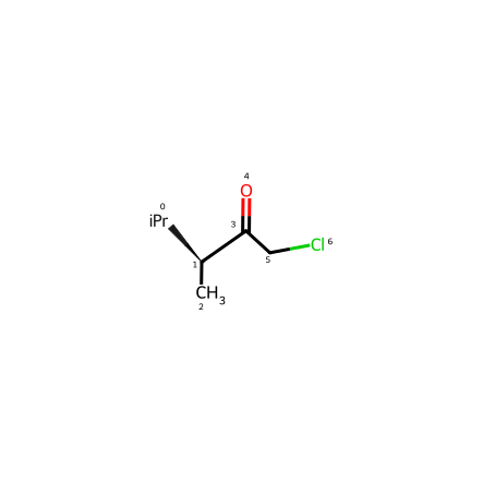 CC(C)[C@H](C)C(=O)CCl